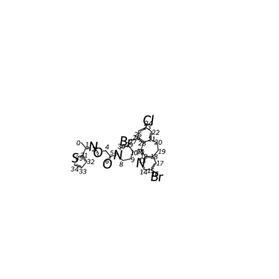 CC(=NOCC(=O)N1CCC([C@H]2c3ncc(Br)cc3CCc3cc(Cl)cc(Br)c32)CC1)c1cccs1